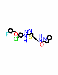 O=C(NCC#Cc1cc2ncnc(Nc3ccc(OCc4cccc(F)c4)c(Cl)c3)c2s1)c1ccc2ccccc2n1